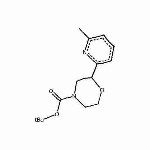 Cc1cccc(C2CN(C(=O)OC(C)(C)C)CCO2)n1